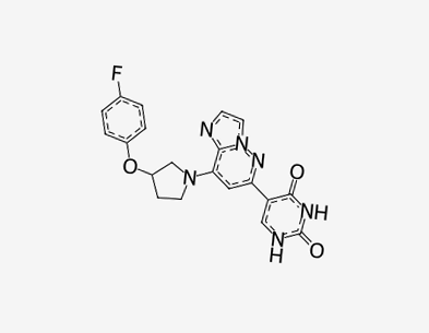 O=c1[nH]cc(-c2cc(N3CCC(Oc4ccc(F)cc4)C3)c3nccn3n2)c(=O)[nH]1